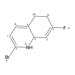 FC1=CC2NC(Br)=CC=C2CC1